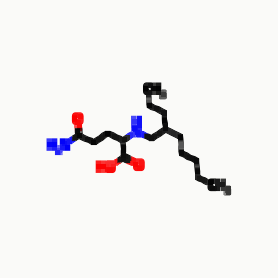 CCCCCC(CCC)CNC(CCC(N)=O)C(=O)O